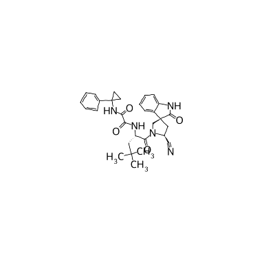 CC(C)(C)C[C@H](NC(=O)C(=O)NC1(c2ccccc2)CC1)C(=O)N1C[C@]2(C[C@H]1C#N)C(=O)Nc1ccccc12